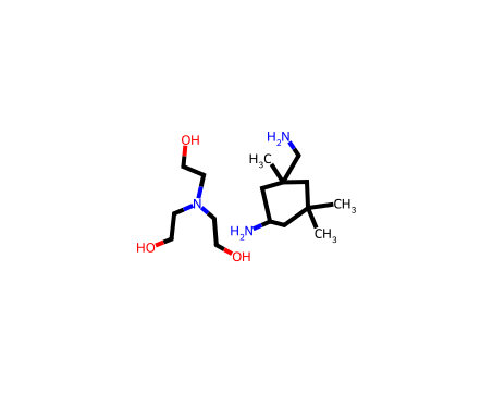 CC1(C)CC(N)CC(C)(CN)C1.OCCN(CCO)CCO